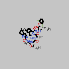 Cc1ccc2c(c1)CCN(C(=O)[C@@H](NC(=O)[C@H](CCC(=O)O)NC(=O)[C@@H](NC(=O)c1ccc3ccccc3n1)C(C)C)C(C)C)[C@@H]2C(=O)N[C@@H](CC(=O)O)C(=O)COc1c(F)cccc1F